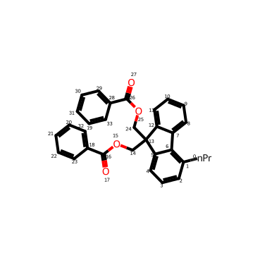 CCCc1cccc2c1-c1ccccc1C2(COC(=O)c1ccccc1)COC(=O)c1ccccc1